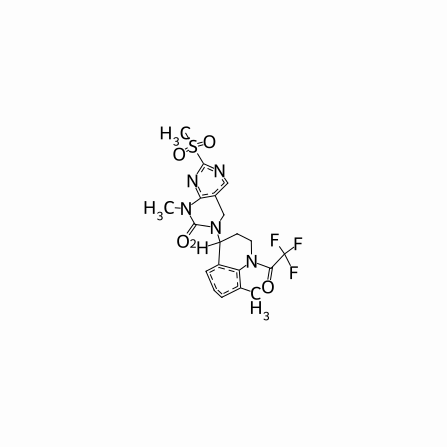 [2H]C1(N2Cc3cnc(S(C)(=O)=O)nc3N(C)C2=O)CCN(C(=O)C(F)(F)F)c2c(C)cccc21